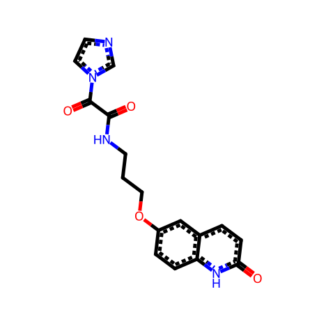 O=C(NCCCOc1ccc2[nH]c(=O)ccc2c1)C(=O)n1ccnc1